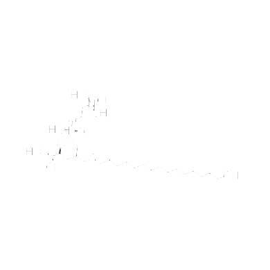 CCCCCCCCCCCCCCCCSCC(COP(=O)(O)OCC[N+](C)(C)C)CC(=O)N(C)C